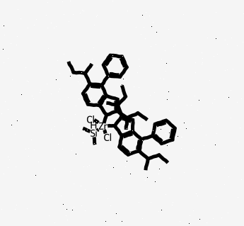 CCC(C)C1=Cc2c(ccc(C(C)CC)c2-c2ccccc2)[CH]1[Zr]([Cl])([Cl])([CH]1C(C(C)CC)=Cc2c1ccc(C(C)CC)c2-c1ccccc1)[SiH](C)C